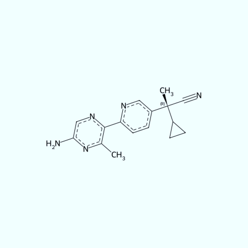 Cc1nc(N)cnc1-c1ccc([C@](C)(C#N)C2CC2)cn1